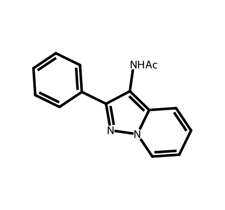 CC(=O)Nc1c(-c2ccccc2)nn2ccccc12